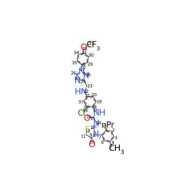 CCCc1ccc(C)cc1N1C(=O)CS/C1=N\C(=O)Nc1ccc(NCc2ncn(-c3ccc(OC(F)(F)F)cc3)n2)cc1Cl